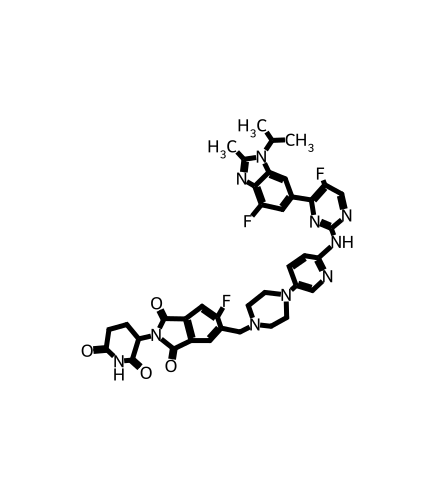 Cc1nc2c(F)cc(-c3nc(Nc4ccc(N5CCN(Cc6cc7c(cc6F)C(=O)N(C6CCC(=O)NC6=O)C7=O)CC5)cn4)ncc3F)cc2n1C(C)C